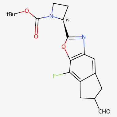 CC(C)(C)OC(=O)N1CC[C@H]1c1nc2cc3c(c(F)c2o1)CC(C=O)C3